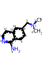 CN(C#N)Cc1ccc2c(N)nccc2c1